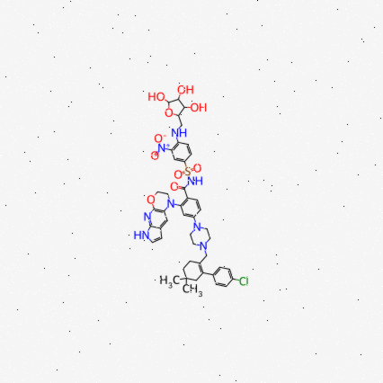 CC1(C)CCC(CN2CCN(c3ccc(C(=O)NS(=O)(=O)c4ccc(NCC5OC(O)C(O)C5O)c([N+](=O)[O-])c4)c(N4CCOc5nc6[nH]ccc6cc54)c3)CC2)=C(c2ccc(Cl)cc2)C1